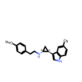 COc1ccc(CCN[C@@H]2C[C@H]2c2c[nH]c3ccc(C#N)cc23)cc1